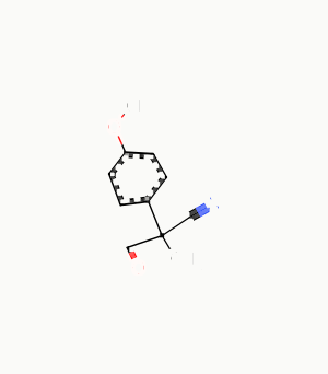 COc1ccc(C(C)(C#N)C=O)cc1